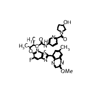 COc1cnc2c(-c3nc4cc(F)c(O[C@@H](C)[C@@H](C)OC(=O)Nc5ccc(C(=O)N6CC[C@@H](O)C6)nc5)nc4s3)cc(C)cc2n1